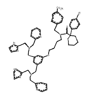 O=C(O)c1ccc(CN(CCCCOc2cc(CN(Cc3ccccn3)Cc3ncc[nH]3)cc(CN(Cc3ccccn3)Cc3ncc[nH]3)c2)C(=O)C2(c3ccc(Cl)cc3)CCCCC2)cc1